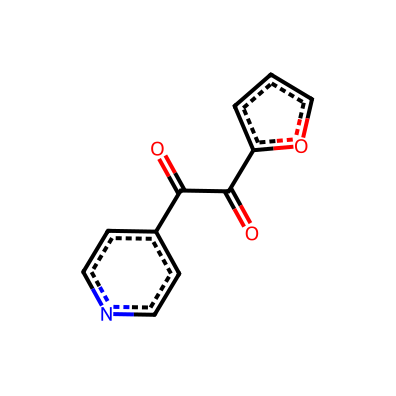 O=C(C(=O)c1ccco1)c1ccncc1